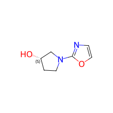 O[C@H]1CCN(c2ncco2)C1